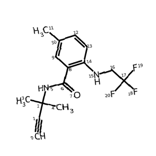 C#CC(C)(C)NC(=O)c1cc(C)ccc1NCC(F)(F)F